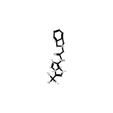 O=C(CN1Cc2ccccc2C1)Nc1ncn2c(C(F)(F)F)csc12